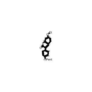 CCCCCc1ccc(-c2cc3ccc(OCC)cc3sc2=O)cc1